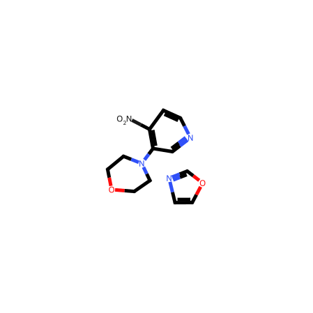 O=[N+]([O-])c1ccncc1N1CCOCC1.c1cocn1